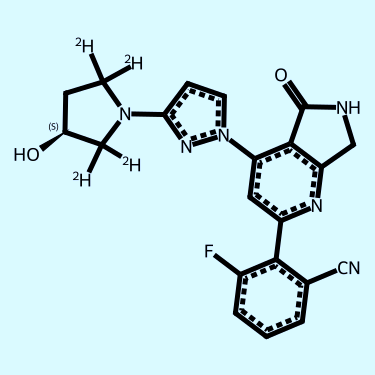 [2H]C1([2H])C[C@H](O)C([2H])([2H])N1c1ccn(-c2cc(-c3c(F)cccc3C#N)nc3c2C(=O)NC3)n1